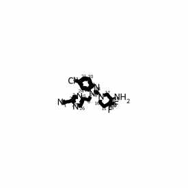 N#Cc1cnc(Cn2c(N3CCC(F)(F)[C@H](N)C3)nc3ccc(Cl)cc32)cn1